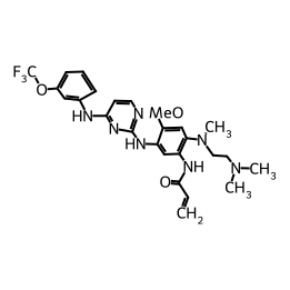 C=CC(=O)Nc1cc(Nc2nccc(Nc3cccc(OC(F)(F)F)c3)n2)c(OC)cc1N(C)CCN(C)C